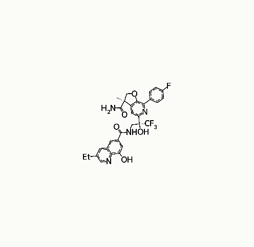 CCc1cnc2c(O)cc(C(=O)NC[C@](O)(c3cc4c(c(-c5ccc(F)cc5)n3)OC[C@]4(C)C(N)=O)C(F)(F)F)cc2c1